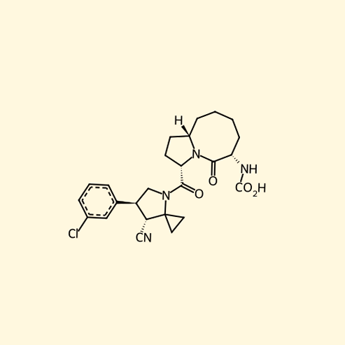 N#C[C@@H]1[C@@H](c2cccc(Cl)c2)CN(C(=O)[C@@H]2CC[C@@H]3CCCC[C@H](NC(=O)O)C(=O)N32)C12CC2